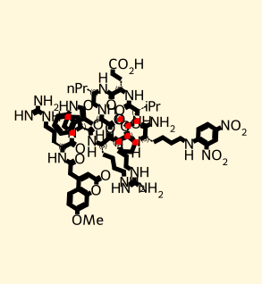 CCC[C@H](NC(=O)[C@H](CCC(=O)O)NC(=O)[C@@H](NC(=O)[C@@H]1CCCN1C(=O)[C@H](CCCCN)NC(=O)[C@@H]1CCCN1C(=O)[C@H](CCCNC(=N)N)NC(=O)Cc1cc(=O)oc2cc(OC)ccc12)C(C)C)C(=O)N[C@@H](Cc1c[nH]c2ccccc12)C(=O)N[C@@H](CCCNC(=N)N)C(=O)N[C@@H](CCCCNc1ccc([N+](=O)[O-])cc1[N+](=O)[O-])C(N)=O